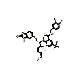 C=C(/C=C\C=C/C)[C@H](COc1ccc2[nH]c(=O)[nH]c2c1)Nc1ncc(C(F)(F)F)cc1C(=O)NCc1ccc(F)c(F)c1